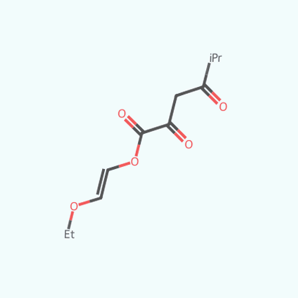 CCOC=COC(=O)C(=O)CC(=O)C(C)C